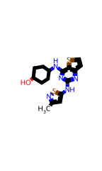 Cc1cc(Nc2nc(NC3CCC(O)CC3)c3sccc3n2)sn1